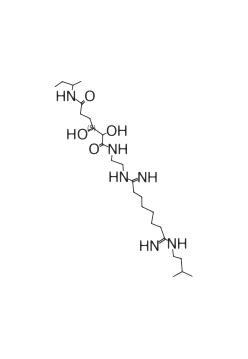 CCC(C)NC(=O)CC[C@H](O)C(O)C(=O)NCCNC(=N)CCCCCCC(=N)NCCC(C)C